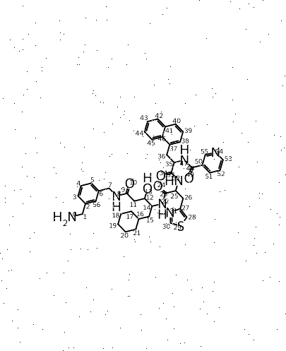 NCc1cccc(CNC(=O)CC(O)C(CC2CCCCC2)NC(=O)C(Cc2cscn2)NC(=O)C(Cc2cccc3ccccc23)NC(=O)c2cccnc2)c1